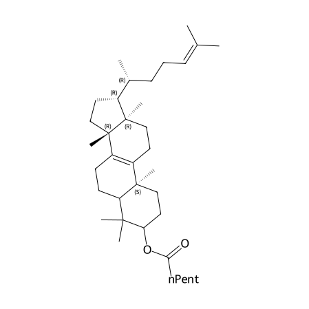 CCCCCC(=O)OC1CC[C@]2(C)C3=C(CCC2C1(C)C)[C@]1(C)CC[C@H]([C@H](C)CCC=C(C)C)[C@@]1(C)CC3